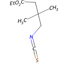 CCOC(=O)CC(C)(C)CN=C=S